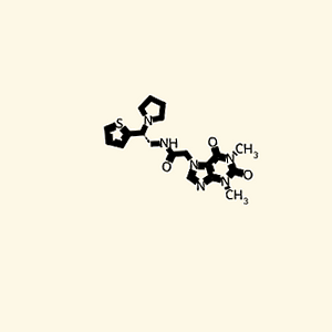 Cn1c(=O)c2c(ncn2CC(=O)NC[C@H](c2cccs2)N2CCCC2)n(C)c1=O